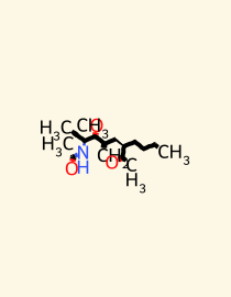 C=C(C[C@@H](CCCC)C(C)=O)C(=O)[C@@H](NC=O)C(C)(C)C